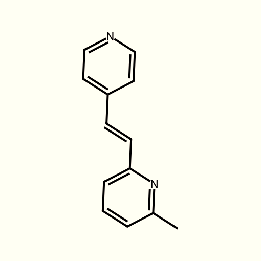 Cc1cccc(/C=C/c2ccncc2)n1